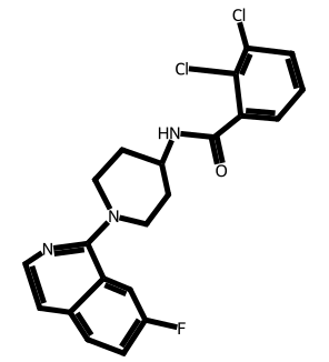 O=C(NC1CCN(c2nccc3ccc(F)cc23)CC1)c1cccc(Cl)c1Cl